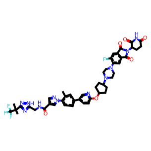 Cc1cc(-c2ccc(OC3CCC(N4CCN(c5cc6c(cc5F)C(=O)N(C5CCC(=O)NC5=O)C6=O)CC4)CC3)nc2)ccc1-n1cc(C(=O)NCc2nc(C(C)(C)C(F)(F)F)n[nH]2)cn1